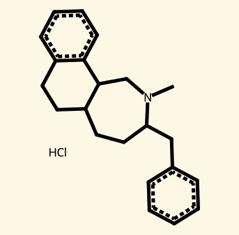 CN1CC2c3ccccc3CCC2CCC1Cc1ccccc1.Cl